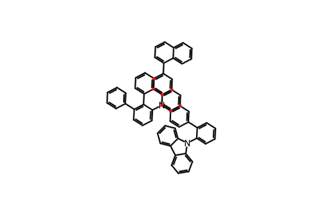 c1ccc(-c2ccccc2-c2c(-c3ccccc3)cccc2N(c2ccc(-c3ccccc3-n3c4ccccc4c4ccccc43)cc2)c2ccc(-c3cccc4ccccc34)cc2)cc1